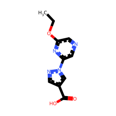 CCOc1cncc(-n2cc(C(=O)O)cn2)n1